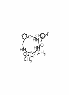 CCC[C@@H]1NC(=O)[C@@H](C)NC(=O)[C@@H](Cc2cccc(F)c2)N[C@@H](C)COc2ccccc2CCCNC1=O